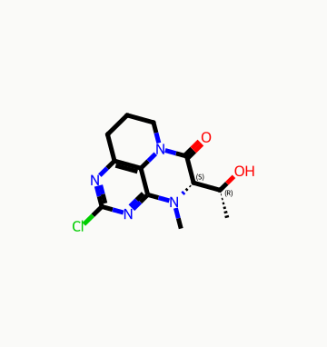 C[C@@H](O)[C@H]1C(=O)N2CCCc3nc(Cl)nc(c32)N1C